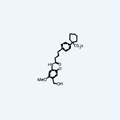 COc1cc(NC(=O)CCCc2ccc(C3(C(=O)O)CCCCC3)cc2)c(Cl)cc1CO